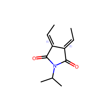 C/C=C1/C(=O)N(C(C)C)C(=O)/C1=C/C